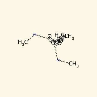 CCCCCC/C=C\CCCCCCCC(=O)OC[C@H](COP(=O)(O)OCCN(C)C)OC(=O)CCCCCCCC/C=C\CCCCCCC